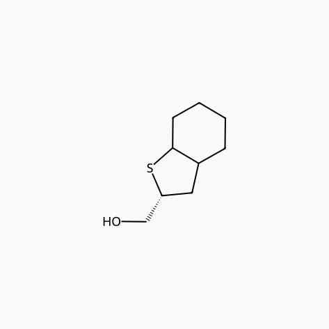 OC[C@H]1CC2CCCCC2S1